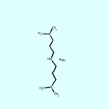 CN(C)CCCNCCCN(C)C.[NaH]